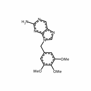 COc1cc(Cn2cnc3cnc(N)nc32)cc(OC)c1OC